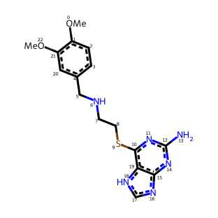 COc1ccc(CNCCSc2nc(N)nc3nc[nH]c23)cc1OC